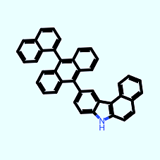 c1ccc2c(-c3c4ccccc4c(-c4ccc5[nH]c6ccc7ccccc7c6c5c4)c4ccccc34)cccc2c1